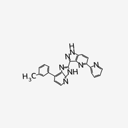 Cc1cccc(-c2ccnc3[nH]c(-c4n[nH]c5ccc(-c6ccccn6)nc45)nc23)c1